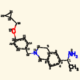 CC(N)c1ccc2c(c1)CCN(Cc1ccc(OCC3CC3)cc1)C2